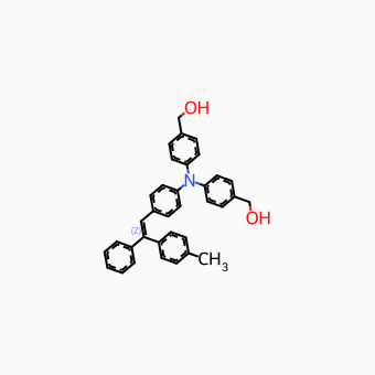 Cc1ccc(/C(=C\c2ccc(N(c3ccc(CO)cc3)c3ccc(CO)cc3)cc2)c2ccccc2)cc1